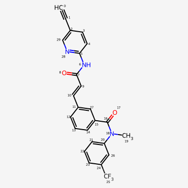 C#Cc1ccc(NC(=O)C=Cc2cccc(C(=O)N(C)c3cccc(C(F)(F)F)c3)c2)nc1